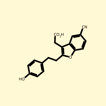 N#Cc1ccc2oc(CCc3ccc(O)cc3)c(CC(=O)O)c2c1